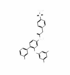 CNS(=O)(=O)c1ccc(CC(=O)Nc2ccc(-c3cccc(F)c3)c(Oc3cc(F)cc(F)c3)c2)cc1